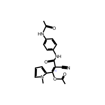 CC(=O)Nc1ccc(NC(=O)/C(C#N)=C(/OC(C)=O)c2cccn2C)cc1